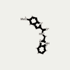 COc1ccc2oc(C(=O)NCc3nc4ccccc4[nH]3)cc2c1